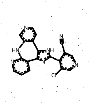 N#Cc1cncc(Cl)c1-c1nc2c([nH]1)-c1ccncc1Nc1ncccc1-2